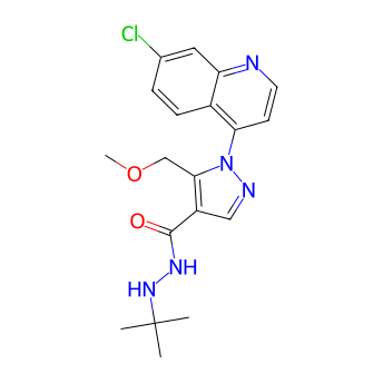 COCc1c(C(=O)NNC(C)(C)C)cnn1-c1ccnc2cc(Cl)ccc12